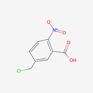 O=C(O)c1cc(CCl)ccc1[N+](=O)[O-]